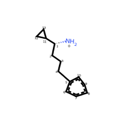 N[C@H](CCCc1ccccc1)C1CC1